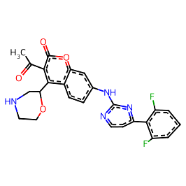 CC(=O)c1c(C2CNCCO2)c2ccc(Nc3nccc(-c4c(F)cccc4F)n3)cc2oc1=O